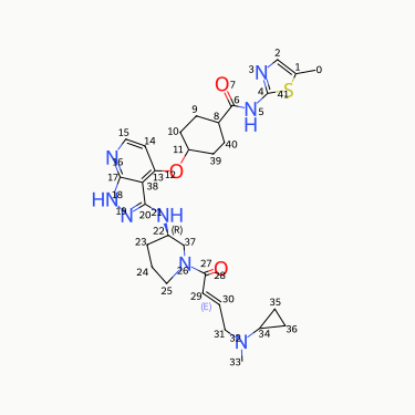 Cc1cnc(NC(=O)C2CCC(Oc3ccnc4[nH]nc(N[C@@H]5CCCN(C(=O)/C=C/CN(C)C6CC6)C5)c34)CC2)s1